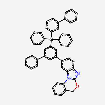 c1ccc(-c2cccc([Si](c3ccccc3)(c3ccccc3)c3cc(-c4ccccc4)cc(-c4ccc5nc6n(c5c4)-c4ccccc4CO6)c3)c2)cc1